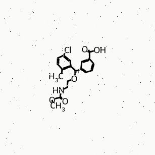 COC(=O)NCCO[C@H](c1cccc(C(=O)O)c1)c1cc(Cl)ccc1C